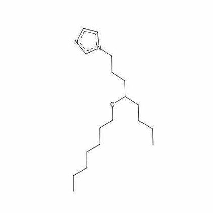 CCCCCCCOC(CCCC)CCCn1ccnc1